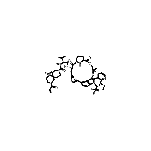 C=CC(=O)N1CCS(=O)(=O)C2(CCN(C(=O)N(C)[C@H](C(=O)N[C@H]3Cc4nc(cs4)-c4ccc5c(c4)c(c(-c4cccnc4[C@H](C)OC)n5CC(F)(F)F)CC(C)(C)COC(=O)[C@@H]4CCCN(N4)C3=O)C(C)C)CC2)C1